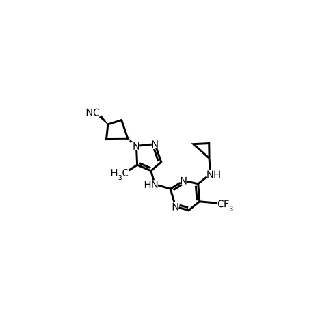 Cc1c(Nc2ncc(C(F)(F)F)c(NC3CC3)n2)cnn1[C@H]1C[C@H](C#N)C1